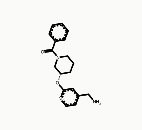 NCc1ccnc(O[C@H]2CCCN(C(=O)c3ccccc3)C2)c1